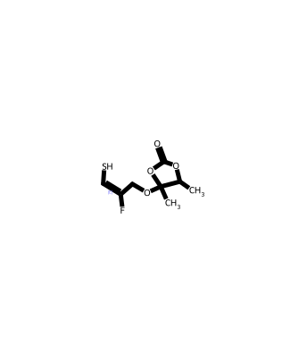 CC1OC(=O)OC1(C)OC/C(F)=C\S